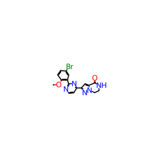 COc1ccc(Br)cc1-c1nccc(-c2cc3n(n2)CCNC3=O)n1